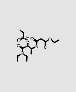 CCOC(=O)CC(=O)SC(C)C(NC(=O)CC)C(=O)N(CC)CC